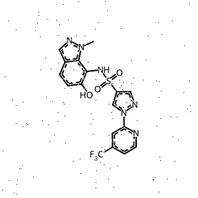 Cn1ncc2ccc(O)c(NS(=O)(=O)c3cnn(-c4cc(C(F)(F)F)ccn4)c3)c21